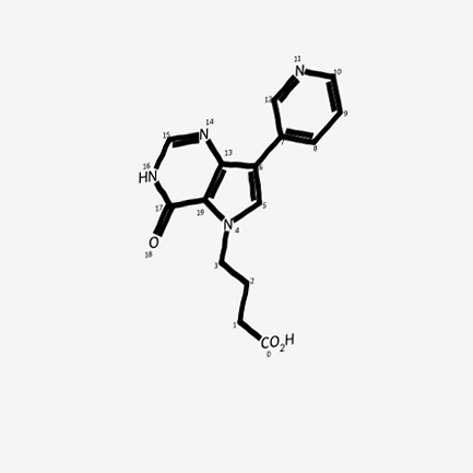 O=C(O)CCCn1cc(-c2cccnc2)c2nc[nH]c(=O)c21